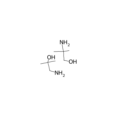 CC(C)(N)CO.CC(C)(O)CN